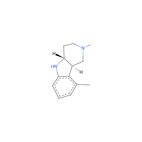 Cc1cccc2c1[C@@H]1CN(C)CC[C@H]1N2